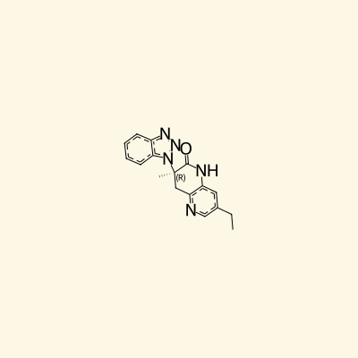 CCc1cnc2c(c1)NC(=O)[C@](C)(n1nnc3ccccc31)C2